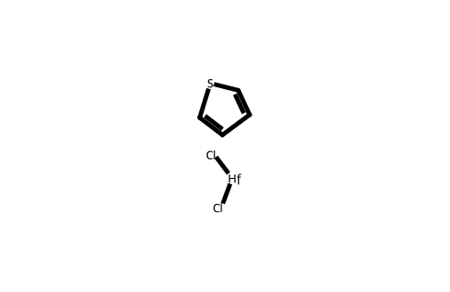 [Cl][Hf][Cl].c1ccsc1